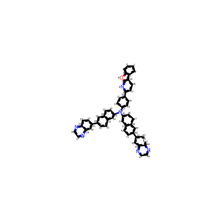 c1ccc2c(c1)oc1nc(-c3ccc(N(c4ccc5cc(-c6ccc7nccnc7c6)ccc5c4)c4ccc5cc(-c6ccc7nccnc7c6)ccc5c4)cc3)ccc12